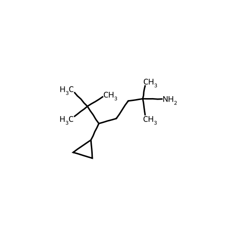 CC(C)(N)CCC(C1CC1)C(C)(C)C